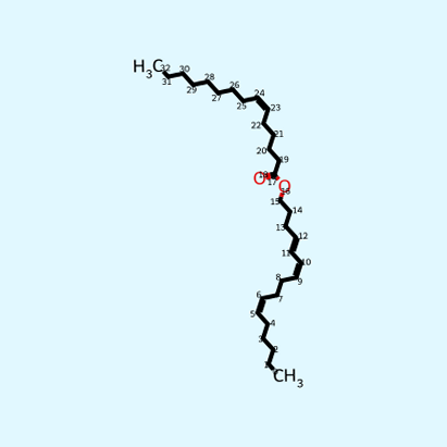 CCCCC/C=C\CC/C=C\C=C\CCCOC(=O)CCCC/C=C\CCCCCCCC